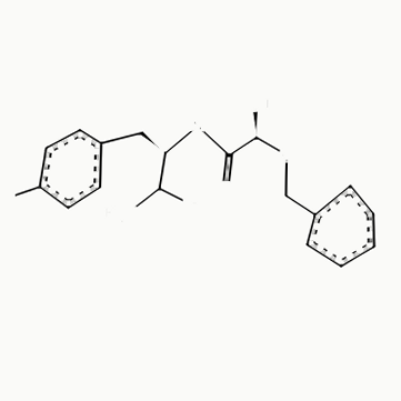 C[C@@H](OCc1ccccc1)C(=O)N[C@H](Cc1ccc(F)cc1)C(O)C(=O)O